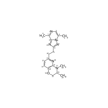 Cc1ncc(C)n2nc(CCc3ccc4c(n3)N(C)C(C)CO4)nc12